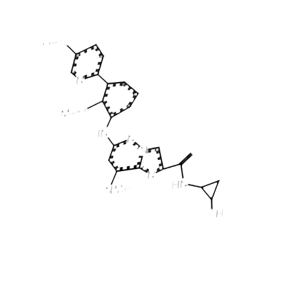 CNc1cc(Nc2cccc(-c3ccc(C=O)cn3)c2OC)nn2cc(C(=O)NC3CC3C)nc12